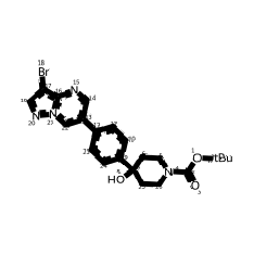 CC(C)(C)OC(=O)N1CCC(O)(c2ccc(-c3cnc4c(Br)cnn4c3)cc2)CC1